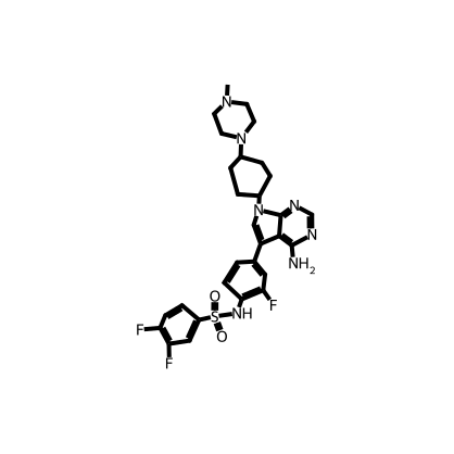 CN1CCN(C2CCC(n3cc(-c4ccc(NS(=O)(=O)c5ccc(F)c(F)c5)c(F)c4)c4c(N)ncnc43)CC2)CC1